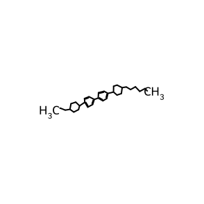 CCCCCCC1CCC(c2ccc(-c3ccc(C4CCC(CCC)CC4)cc3)cc2)CC1